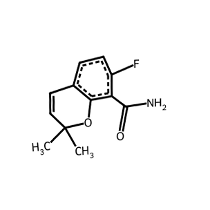 CC1(C)C=Cc2ccc(F)c(C(N)=O)c2O1